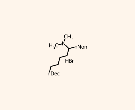 Br.CCCCCCCCCCCCCCC(CCCCCCCCC)N(C)C